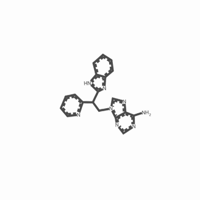 Nc1ncnc2c1ncn2CC(c1ccccn1)c1nc2ccccc2[nH]1